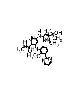 CNC(=O)c1nnc(Nc2cc(C(C)(C)O)n(C)n2)cc1Nc1cccc(-c2ncccn2)c1OC